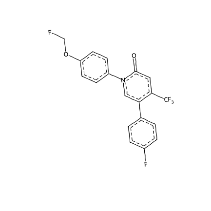 O=c1cc(C(F)(F)F)c(-c2ccc(F)cc2)cn1-c1ccc(OCF)cc1